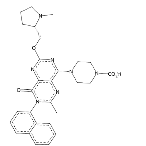 Cc1nc2c(N3CCN(C(=O)O)CC3)nc(OC[C@@H]3CCCN3C)nc2c(=O)n1-c1cccc2ccccc12